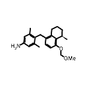 COCOc1ccc(Cc2c(C)cc(N)cc2C)c2c1[C@H](C)CCC2